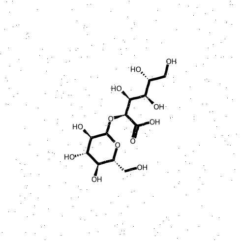 O=C(O)[C@@H](OC1O[C@H](CO)[C@@H](O)[C@H](O)[C@H]1O)[C@@H](O)[C@H](O)[C@H](O)CO